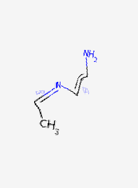 C/C=N\C=C/N